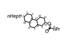 CCCCCCC[C@@H]1CCC2C(CCC3C[C@H](OC(=O)CCC)CCC32)C1